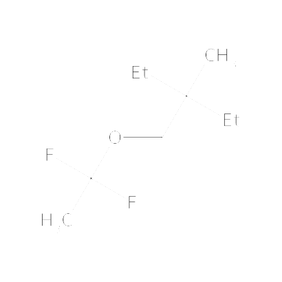 CCC(C)(CC)COC(C)(F)F